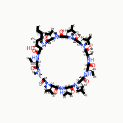 C/C=C/C[C@@H](C)[C@@H](O)[C@H]1C(=O)N[C@@H](CC)C(=O)N(C)CC(=O)N(C)[C@H](C(C)C)C(=O)N[C@@H](C(C)C)C(=O)N(C)[C@@H](CC(C)C)C(=O)N[C@@H](CC)C(=O)N[C@H](C)C(=O)N(C)[C@@H](CC(C)C)C(=O)N(C)[C@@H](CC(C)C)C(=O)N(C)[C@@H](C(C)C)C(=O)N1C